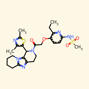 CCc1nc(NS(C)(=O)=O)ccc1OCC(=O)N1CCc2nc3n(c2C1c1sc(C)nc1C)CCCC3